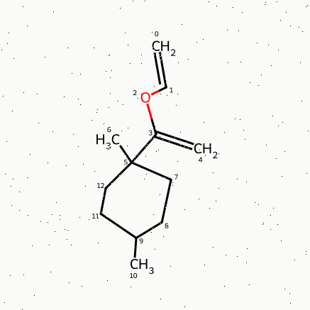 C=COC(=C)C1(C)CCC(C)CC1